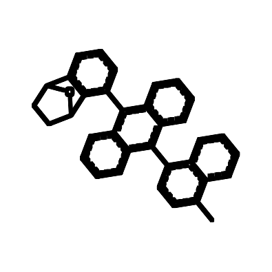 Cc1ccc(-c2c3ccccc3c(-c3cccc4c3C3CCC4O3)c3ccccc23)c2ccccc12